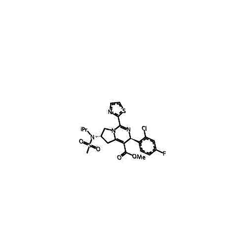 COC(=O)C1=C2C[C@H](N(C(C)C)S(C)(=O)=O)CN2C(c2nccs2)=N[C@H]1c1ccc(F)cc1Cl